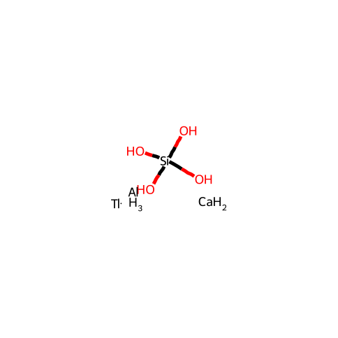 O[Si](O)(O)O.[AlH3].[CaH2].[Tl]